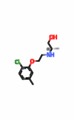 Cc1ccc(Cl)c(OCCN[C@@H](C)CO)c1